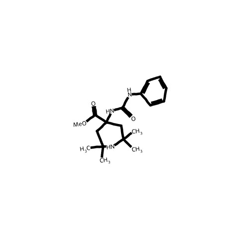 COC(=O)C1(NC(=O)Nc2ccccc2)CC(C)(C)NC(C)(C)C1